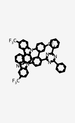 N#Cc1ccc2c(c1)c1cc(C(F)(F)F)ccc1n2-c1ccc(C(F)(F)F)cc1-c1cc(-n2c3ccccc3c3cc(C(F)(F)F)ccc32)ccc1-c1nc(-c2ccccc2)nc(-c2ccccc2)n1